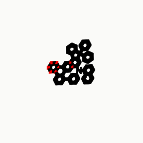 c1ccc(-c2ccccc2-c2c(-c3ccccc3)cccc2-c2cccc(N(c3ccc4c(c3)C(c3ccccc3)(c3ccccc3)c3ccccc3-4)c3cccc4ccccc34)c2)cc1